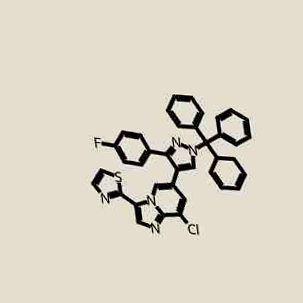 Fc1ccc(-c2nn(C(c3ccccc3)(c3ccccc3)C3C=CC=CC3)cc2-c2cc(Cl)c3ncc(-c4nccs4)n3c2)cc1